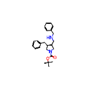 CC(C)(C)OC(=O)N1CC(CNCc2ccccc2)C(Cc2ccccc2)C1